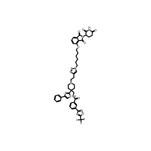 O=C1CCC(N2C(=O)c3cccc(OCCCCCCn4cc(CCN5CCC(CNC(=O)c6cccc(-c7noc(C(F)(F)F)n7)c6)(c6nc(-c7ccccc7)cs6)CC5)nn4)c3C2=O)C(=O)N1